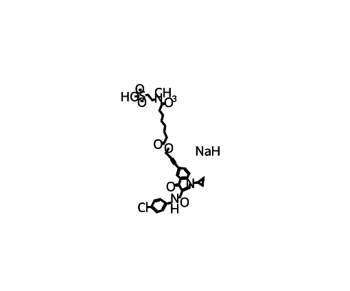 CN(CCS(=O)(=O)O)C(=O)CCCCCCC(=O)OCC#Cc1ccc2c(c1)c(=O)c(C(=O)NCc1ccc(Cl)cc1)cn2C1CC1.[NaH]